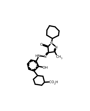 CC1=NN(C2CCCCCC2)C(=O)C1=NNc1cccc(C2CCCC(C(=O)O)C2)c1O